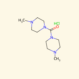 CN1CCN(C(=O)N2CCN(C)CC2)CC1.Cl